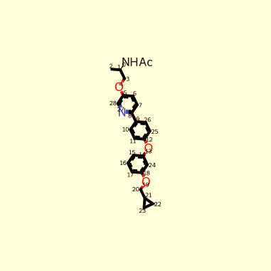 CC(=O)N[C@@H](C)COc1ccc(-c2ccc(Oc3cccc(OCC4CC4)c3)cc2)nc1